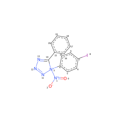 O=[N+]([O-])[N+]1(c2ccc(I)cc2)N=NN=C1c1ccccc1